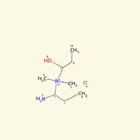 CCC(N)[N+](C)(C)C(O)CC.[Cl-]